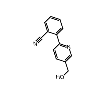 N#Cc1ccccc1-c1ccc(CO)cn1